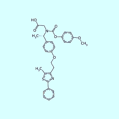 COc1ccc(OC(=O)N(CC(=O)O)[C@@H](C)c2ccc(OCCc3nc(-c4ccccc4)sc3C)cc2)cc1